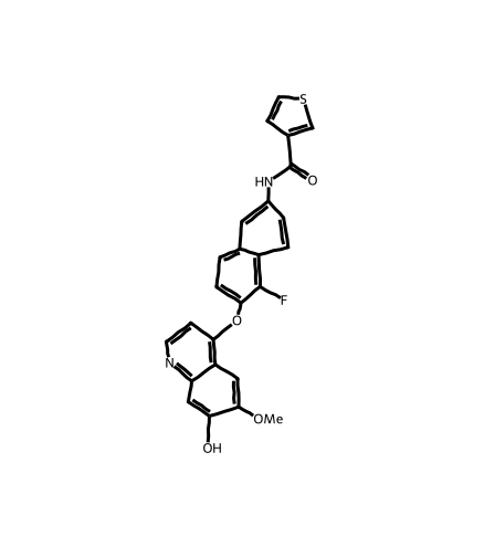 COc1cc2c(Oc3ccc4cc(NC(=O)c5ccsc5)ccc4c3F)ccnc2cc1O